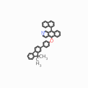 CC1(C)c2ccccc2-c2ccc(-c3ccc(Oc4c5ccccc5c(-c5cccc6ccccc56)c5cnccc45)cc3)cc21